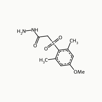 COc1cc(C)c(S(=O)(=O)CC(=O)NN)c(C)c1